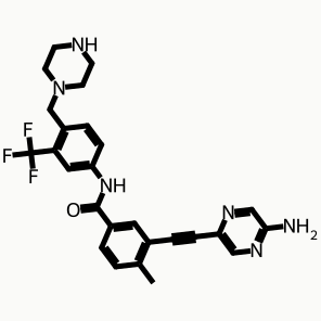 Cc1ccc(C(=O)Nc2ccc(CN3CCNCC3)c(C(F)(F)F)c2)cc1C#Cc1cnc(N)cn1